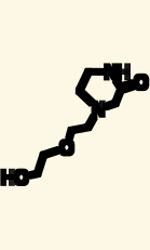 O=C1CN(CCOCCO)CCN1